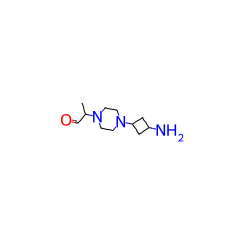 CC(C=O)N1CCN(C2CC(N)C2)CC1